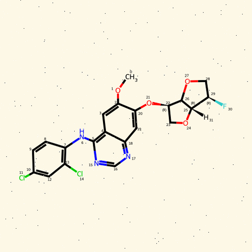 COc1cc2c(Nc3ccc(Cl)cc3Cl)ncnc2cc1O[C@@H]1CO[C@@H]2C1OC[C@H]2F